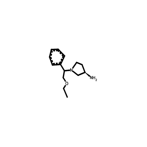 CCOCC(c1ccccc1)N1CC[C@@H](N)C1